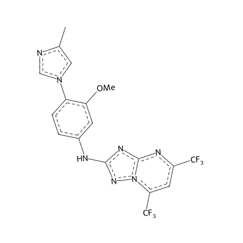 COc1cc(Nc2nc3nc(C(F)(F)F)cc(C(F)(F)F)n3n2)ccc1-n1cnc(C)c1